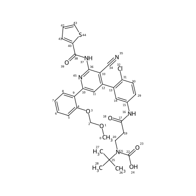 COCOc1ccccc1-c1cc(-c2cc(NC(=O)CCN(C(=O)O)C(C)(C)C)ccc2Cl)c(C#N)c(NC(=O)c2cccs2)n1